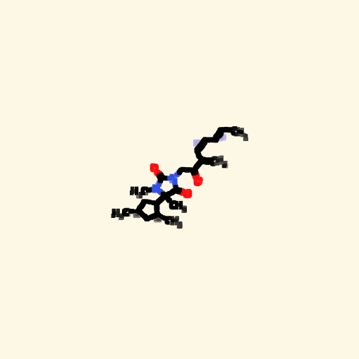 C=C(/C=C\C=C\C)C(=O)CN1C(=O)N(C)C(C)(C2C[C@H](C)C[C@@H]2C)C1=O